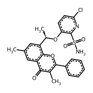 Cc1cc([C@@H](C)Oc2ccc(Cl)nc2S(N)(=O)=O)c2oc(-c3ccccc3)c(C)c(=O)c2c1